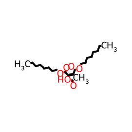 CC(=O)O.CCCCCCCCOC(=O)/C=C\C(=O)OCCCCCCCC